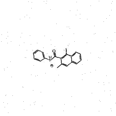 Cc1cc2ccccc2c(C)c1C(=O)[PH](=O)c1ccccc1